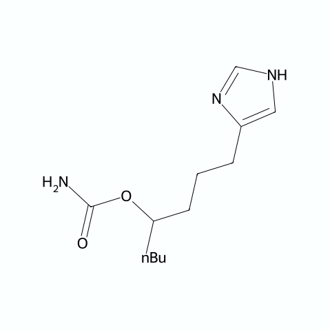 CCCCC(CCCc1c[nH]cn1)OC(N)=O